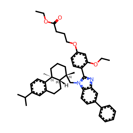 CCOC(=O)CCCOc1ccc(-c2nc3cc(-c4ccccc4)ccc3n2C[C@@]2(C)CCC[C@]3(C)c4ccc(C(C)C)cc4CC[C@@H]23)c(OCC)c1